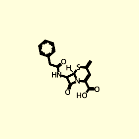 C=C1C=C(C(=O)O)N2C(=O)C(NC(=O)Cc3ccccc3)[C@H]2S1